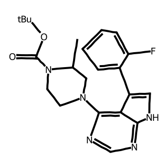 CC1CN(c2ncnc3[nH]cc(-c4ccccc4F)c23)CCN1C(=O)OC(C)(C)C